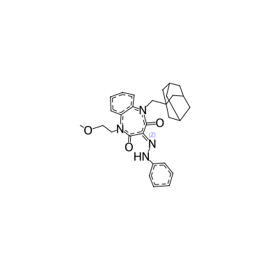 COCCn1c(=O)/c(=N\Nc2ccccc2)c(=O)n(CC23CC4CC(CC(C4)C2)C3)c2ccccc21